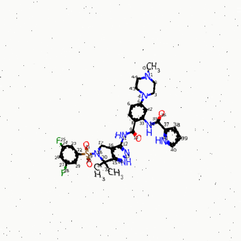 CN1CCN(c2ccc(C(=O)Nc3n[nH]c4c3CN(S(=O)(=O)c3cc(F)cc(F)c3)C4(C)C)c(NC(=O)c3ccc[nH]3)c2)CC1